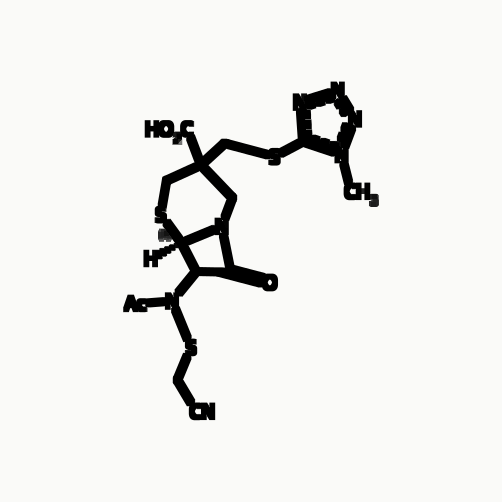 CC(=O)N(SCC#N)C1C(=O)N2CC(CSc3nnnn3C)(C(=O)O)CS[C@H]12